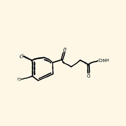 COC(=O)CCC(=O)c1ccc(Cl)c(Cl)c1